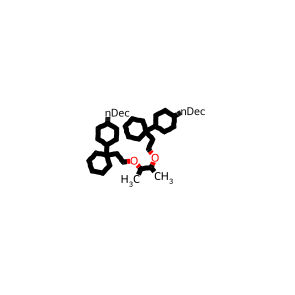 CCCCCCCCCCC1CCC(C2(CCOC(C)C(C)OCCC3(C4CCC(CCCCCCCCCC)CC4)CCCCC3)CCCCC2)CC1